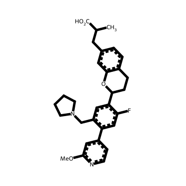 COc1cc(-c2cc(F)c(C3CCc4ccc(CC(C)C(=O)O)cc4O3)cc2CN2CCCC2)ccn1